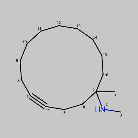 CNC1(C)CCC#CCCCCCCCCC1